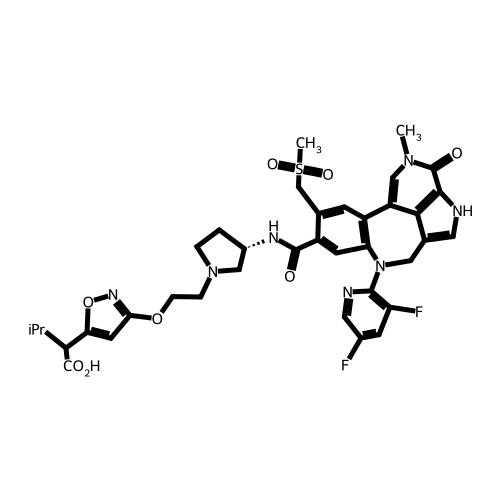 CC(C)C(C(=O)O)c1cc(OCCN2CC[C@H](NC(=O)c3cc4c(cc3CS(C)(=O)=O)-c3cn(C)c(=O)c5[nH]cc(c35)CN4c3ncc(F)cc3F)C2)no1